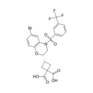 O=C(O)C1(C(=O)O)CC([C@H]2CN(S(=O)(=O)c3cccc(C(F)(F)F)c3)c3cc(Br)ccc3O2)C1